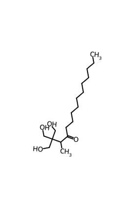 CCCCCCCCCCCC(=O)C(C)C(CO)(CO)CO